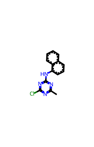 Cc1nc(Cl)nc(Nc2cccc3ccccc23)n1